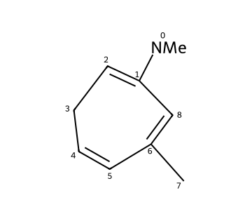 CNC1=CCC=CC(C)=C1